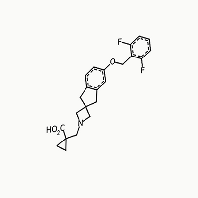 O=C(O)C1(CN2CC3(Cc4ccc(OCc5c(F)cccc5F)cc4C3)C2)CC1